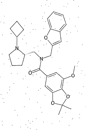 COc1cc(C(=O)N(Cc2cc3ccccc3o2)C[C@@H]2CCCN2C2CCC2)cc2c1OC(C)(C)O2